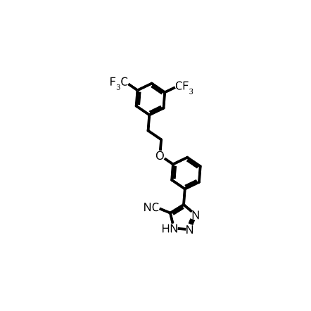 N#Cc1[nH]nnc1-c1cccc(OCCc2cc(C(F)(F)F)cc(C(F)(F)F)c2)c1